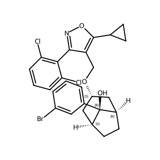 O[C@@]1(c2cccc(Br)c2)[C@@H]2CC[C@H]1C[C@H](OCc1c(-c3c(Cl)cccc3Cl)noc1C1CC1)C2